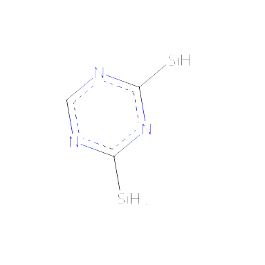 [SiH3]c1ncnc([SiH3])n1